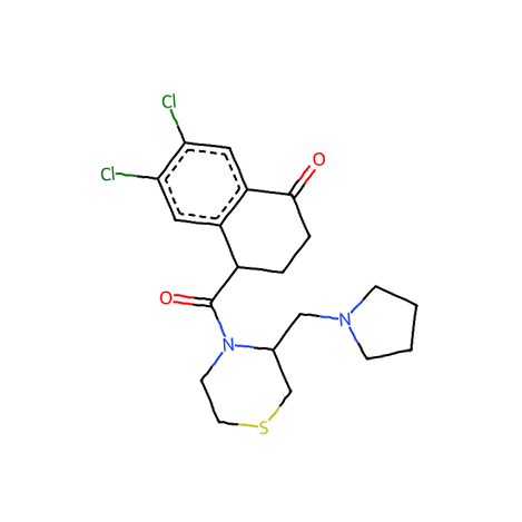 O=C1CCC(C(=O)N2CCSCC2CN2CCCC2)c2cc(Cl)c(Cl)cc21